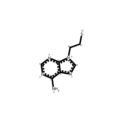 Nc1ncnc2c1ncn2CC[S]